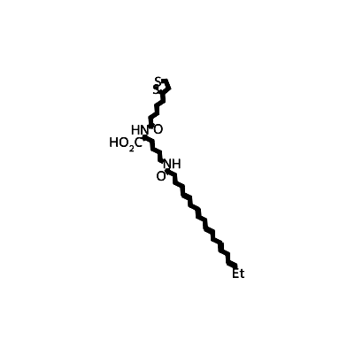 CCC=CCC=CCC=CCC=CCC=CCCCC(=O)NCCCCC(NC(=O)CCCCC1CCSS1)C(=O)O